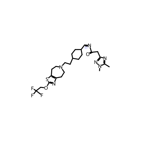 Cc1nc(CC(=O)/N=C\C2CCC(CCN3CCc4nc(OCC(F)(F)F)sc4CC3)CC2)nn1C